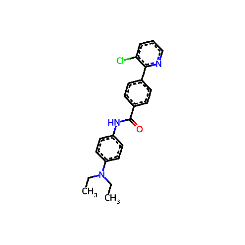 CCN(CC)c1ccc(NC(=O)c2ccc(-c3ncccc3Cl)cc2)cc1